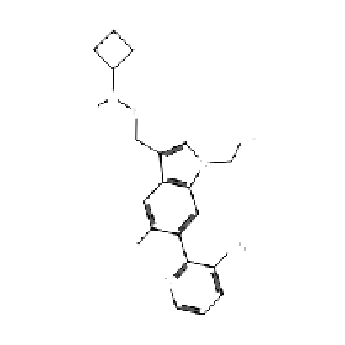 CC(C)(C)Cn1cc(CN[S+]([O-])C2CCC2)c2cc(F)c(-c3ncccc3C#N)cc21